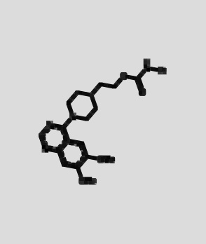 CCNC(=O)OCCC1CCN(c2ncnc3cc(OC)c(OC)cc23)CC1